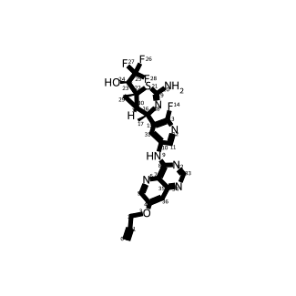 C#CCOc1cnc2c(Nc3cnc(F)c([C@@]4(C)N=C(N)S[C@]5([C@@H](O)C(F)(F)F)C[C@H]54)c3)ncnc2c1